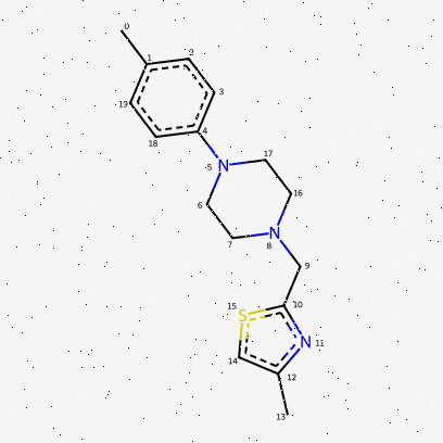 Cc1ccc(N2CCN(Cc3nc(C)cs3)CC2)cc1